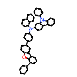 c1ccc(-c2cccc3c2oc2ccc(-c4ccc(N(c5ccc6c7ccccc7n(-c7ccccc7)c6c5)c5cccc6ccccc56)cc4)cc23)cc1